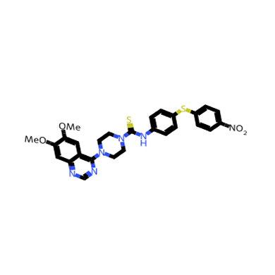 COc1cc2ncnc(N3CCN(C(=S)Nc4ccc(Sc5ccc([N+](=O)[O-])cc5)cc4)CC3)c2cc1OC